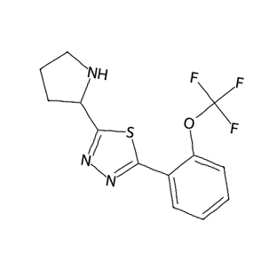 FC(F)(F)Oc1ccccc1-c1nnc(C2CCCN2)s1